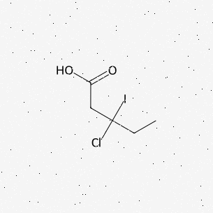 CCC(Cl)(I)CC(=O)O